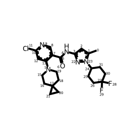 Cc1cc(NC(=O)c2cnc(Cl)cc2N2CCC3(CC2)CC3)nn1C1CCC(F)(F)CC1